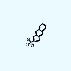 [O]S(=O)(=O)c1ccc2cc3ccccc3cc2c1